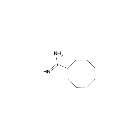 N=C(N)C1CCCCCCC1